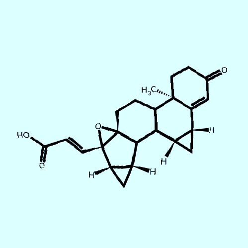 C[C@]12CCC(=O)C=C1[C@@H]1C[C@@H]1C1C2CC[C@]23O[C@@]2(C=CC(=O)O)[C@H]2C[C@H]2C13